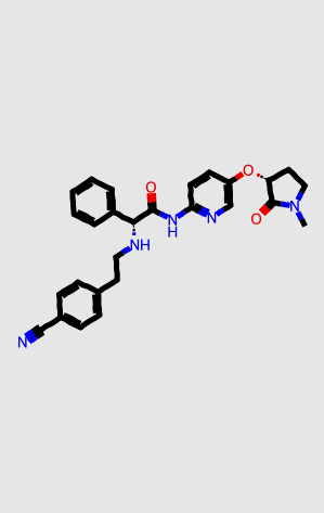 CN1CC[C@@H](Oc2ccc(NC(=O)[C@H](NCCc3ccc(C#N)cc3)c3ccccc3)nc2)C1=O